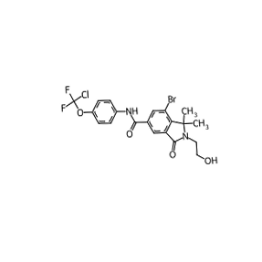 CC1(C)c2c(Br)cc(C(=O)Nc3ccc(OC(F)(F)Cl)cc3)cc2C(=O)N1CCO